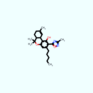 CCCCCc1cc2c(c(O)c1-c1nc(C)no1)C1C=C(C)CCC1C(C)(C)O2